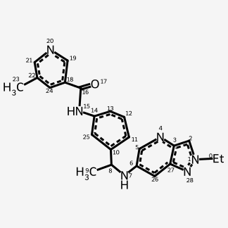 CCn1cc2ncc(NC(C)c3cccc(NC(=O)c4cncc(C)c4)c3)cc2n1